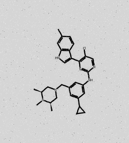 Cc1ccc2c(-c3nc(Nc4cc(CN5C[C@@H](C)N(C)[C@@H](C)C5)cc(C5CC5)c4)ncc3Cl)c[nH]c2c1